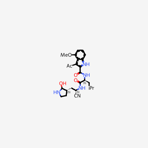 COc1cccc2[nH]c(C(=O)N[C@@H](CC(C)C)C(=O)N[C@H](C#N)C[C@@H]3CCNC3O)c(C(C)=O)c12